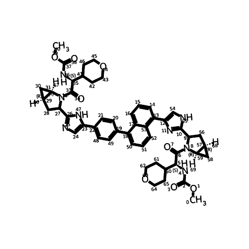 COC(=O)N[C@H](C(=O)N1C(c2nc(-c3cccc4c(-c5ccc(-c6cnc(C7C[C@H]8C[C@H]8N7C(=O)[C@@H](NC(=O)OC)C7CCOCC7)[nH]6)cc5)cccc34)c[nH]2)C[C@H]2C[C@H]21)C1CCOCC1